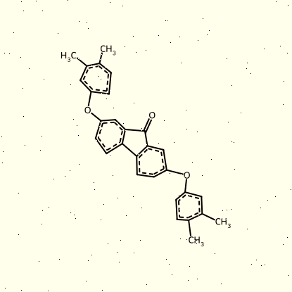 Cc1ccc(Oc2ccc3c(c2)C(=O)c2cc(Oc4ccc(C)c(C)c4)ccc2-3)cc1C